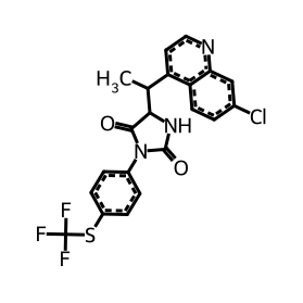 CC(c1ccnc2cc(Cl)ccc12)C1NC(=O)N(c2ccc(SC(F)(F)F)cc2)C1=O